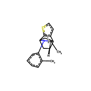 Cc1ccccc1N1[C@@H](C)C23CCC1(CC2)c1sccc13